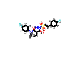 CC(C)CC(C(=O)NS(=O)(=O)/C=C/c1ccc(F)cc1)C(=O)N(c1ccc(F)cc1)C(C)C